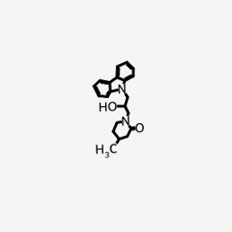 CC1CCN(CC(O)Cn2c3ccccc3c3ccccc32)C(=O)C1